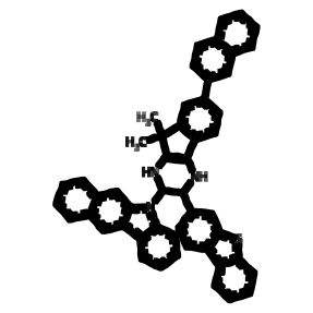 CC1(C)C2=C(NC(c3ccc4c(c3)sc3ccccc34)C(n3c4ccccc4c4cc5ccccc5cc43)N2)c2ccc(-c3ccc4ccccc4c3)cc21